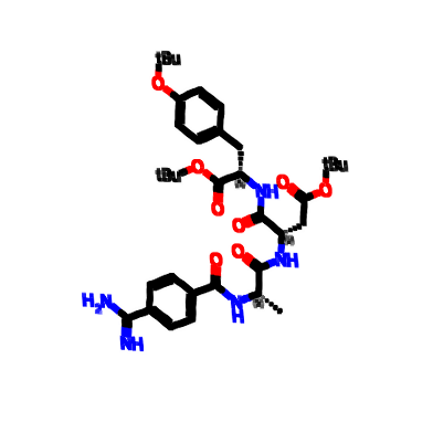 C[C@H](NC(=O)c1ccc(C(=N)N)cc1)C(=O)N[C@@H](CC(=O)OC(C)(C)C)C(=O)N[C@@H](Cc1ccc(OC(C)(C)C)cc1)C(=O)OC(C)(C)C